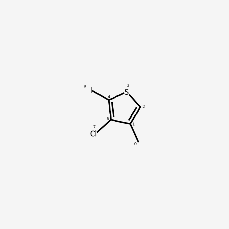 Cc1csc(I)c1Cl